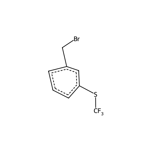 FC(F)(F)Sc1cccc(CBr)c1